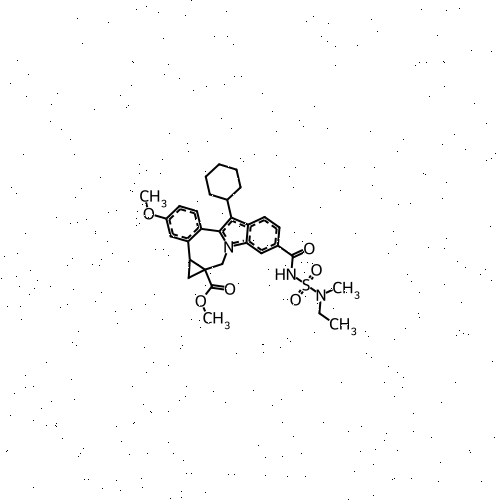 CCN(C)S(=O)(=O)NC(=O)c1ccc2c(C3CCCCC3)c3n(c2c1)CC1(C(=O)OC)CC1c1cc(OC)ccc1-3